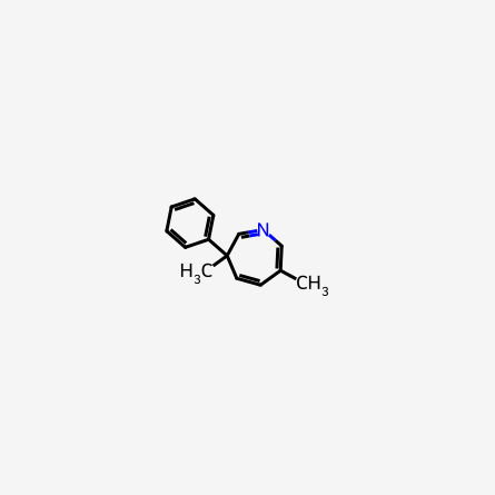 CC1=CN=CC(C)(c2ccccc2)C=C1